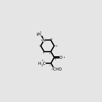 CC(C=O)C(=O)C1CCN(C(C)C)CC1